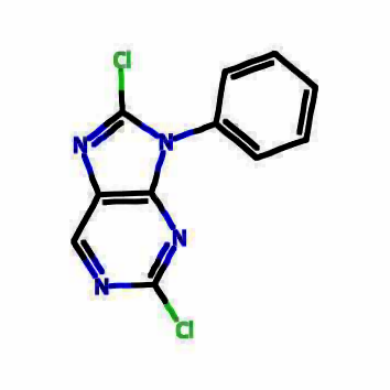 Clc1ncc2nc(Cl)n(-c3ccccc3)c2n1